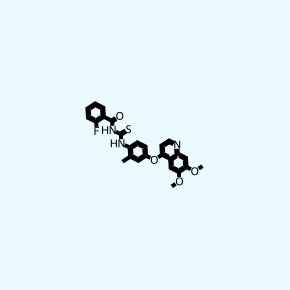 COc1cc2nccc(Oc3ccc(NC(=S)NC(=O)c4ccccc4F)c(C)c3)c2cc1OC